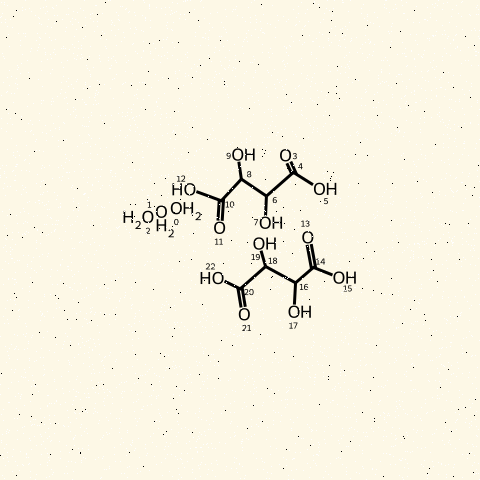 O.O.O.O=C(O)C(O)C(O)C(=O)O.O=C(O)C(O)C(O)C(=O)O